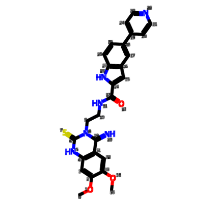 COc1cc2[nH]c(=S)n(CCNC(=O)c3cc4cc(-c5ccncc5)ccc4[nH]3)c(=N)c2cc1OC